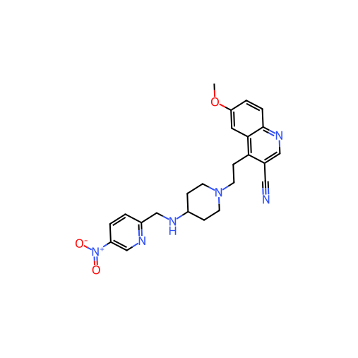 COc1ccc2ncc(C#N)c(CCN3CCC(NCc4ccc([N+](=O)[O-])cn4)CC3)c2c1